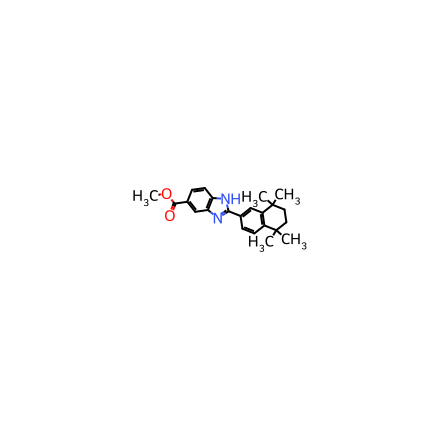 COC(=O)c1ccc2[nH]c(-c3ccc4c(c3)C(C)(C)CCC4(C)C)nc2c1